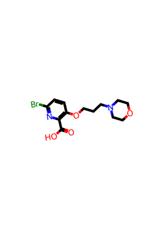 O=C(O)c1nc(Br)ccc1OCCCN1CCOCC1